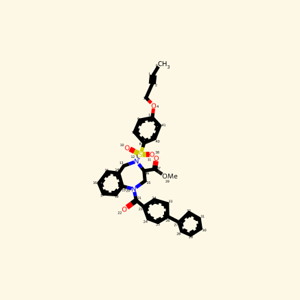 CC#CCOc1ccc(S(=O)(=O)N2Cc3ccccc3N(C(=O)c3ccc(-c4ccccc4)cc3)CC2C(=O)OC)cc1